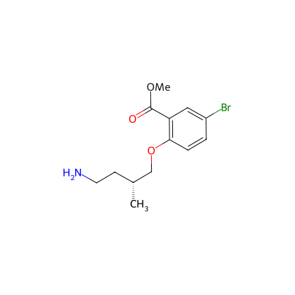 COC(=O)c1cc(Br)ccc1OC[C@H](C)CCN